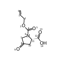 C=CCOC(=O)N1CC(=O)C[C@H]1C(=O)O